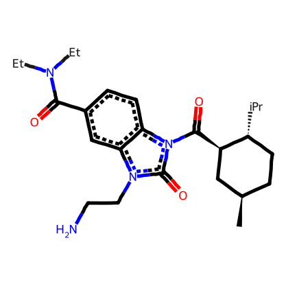 CCN(CC)C(=O)c1ccc2c(c1)n(CCN)c(=O)n2C(=O)[C@@H]1C[C@H](C)CC[C@H]1C(C)C